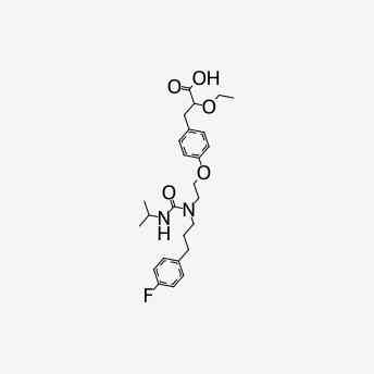 CCOC(Cc1ccc(OCCN(CCCc2ccc(F)cc2)C(=O)NC(C)C)cc1)C(=O)O